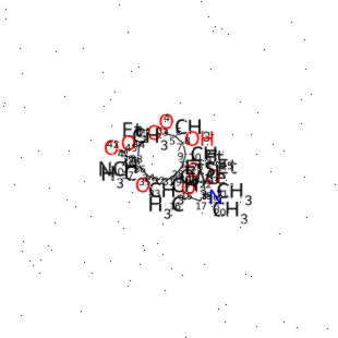 CC[C@@H]1OC(=O)[C@H](C)[C@H](O)[C@H](C)[C@@H](O[C@@H]2O[C@H](C)C[C@H](N(C)C)[C@H]2O[Si](CC)(CC)CC)[C@](C)(OC)C[C@@H](C)C(=O)[C@H](C)[C@H]2[C@H](C#N)C(=O)O[C@@]21C